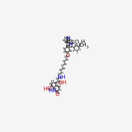 Cc1cccc(C(c2cccc(OCCCCCCCCCNC[C@H](O)c3ccc(O)c4[nH]c(=O)ccc34)c2)N(C(=O)O)[C@H]2CN3CCC2CC3)c1